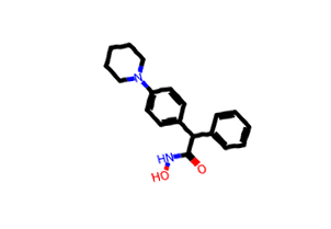 O=C(NO)C(c1ccccc1)c1ccc(N2CCCCC2)cc1